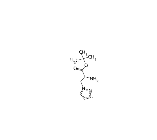 CC(C)(C)OC(=O)C(N)Cn1cc[c]n1